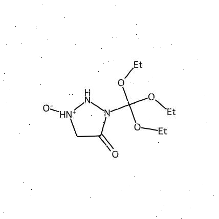 CCOC(OCC)(OCC)N1N[NH+]([O-])CC1=O